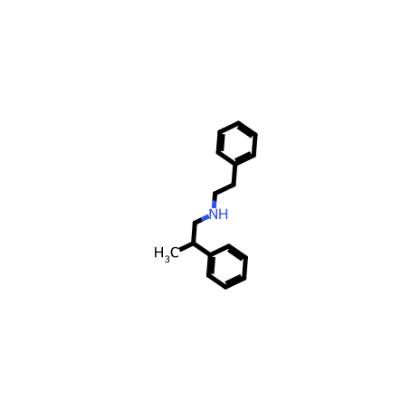 CC(CNCCc1ccccc1)c1ccccc1